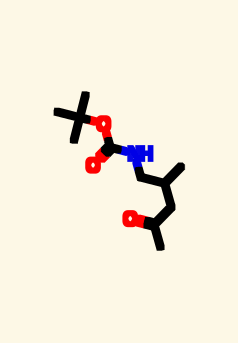 CC(=O)CC(C)CNC(=O)OC(C)(C)C